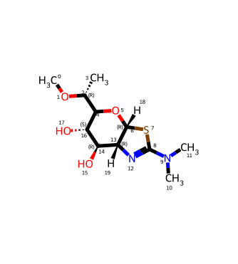 CO[C@H](C)C1O[C@@H]2SC(N(C)C)=N[C@@H]2[C@@H](O)[C@@H]1O